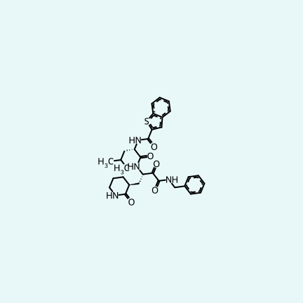 CC(C)C[C@H](NC(=O)c1cc2ccccc2s1)C(=O)N[C@@H](C[C@@H]1CCCNC1=O)C(=O)C(=O)NCc1ccccc1